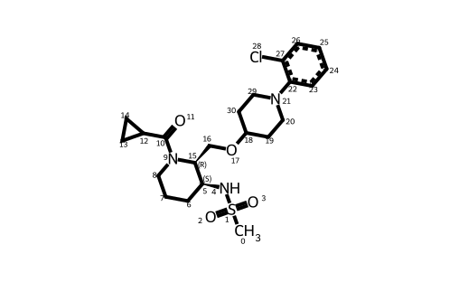 CS(=O)(=O)N[C@H]1CCCN(C(=O)C2CC2)[C@H]1COC1CCN(c2ccccc2Cl)CC1